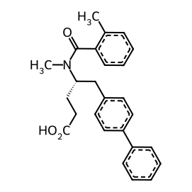 Cc1ccccc1C(=O)N(C)[C@@H](CCC(=O)O)Cc1ccc(-c2ccccc2)cc1